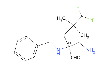 CC(C)(C[C@@](C=O)(CN)NCc1ccccc1)C(F)F